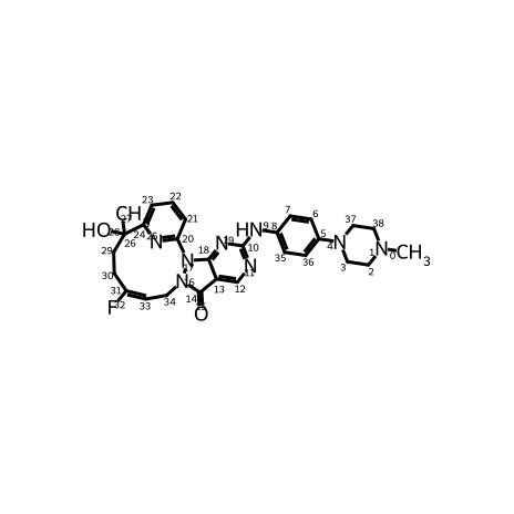 CN1CCN(c2ccc(Nc3ncc4c(=O)n5n(c4n3)-c3cccc(n3)C(C)(O)CC/C(F)=C\C5)cc2)CC1